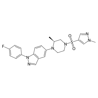 C[C@H]1CN(S(=O)(=O)c2cnn(C)c2)CCN1c1ccc2c(cnn2-c2ccc(F)cc2)c1